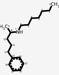 CCCCCCCNC(C)CCCc1ccccc1